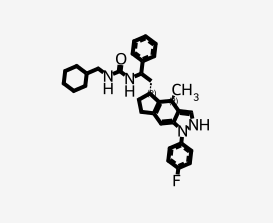 C[C@H]1C2=CNN(c3ccc(F)cc3)C2=CC2=C1[C@@H](CC(NC(=O)NCC1CCCCC1)c1ccccc1)CC2